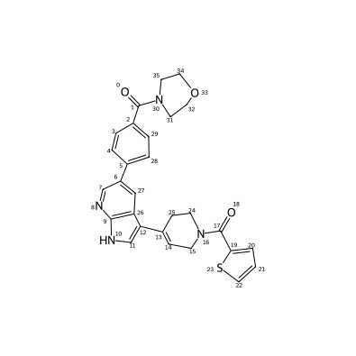 O=C(c1ccc(-c2cnc3[nH]cc(C4=CCN(C(=O)c5cccs5)CC4)c3c2)cc1)N1CCOCC1